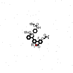 CN(C)C(=O)COc1ccc(C(N)=O)c(-c2cc(C(CN(C(=O)OC(C)(C)C)C3CCC(NC(=O)OC(C)(C)C)CC3)c3ccccc3)cc(F)c2Cl)c1F